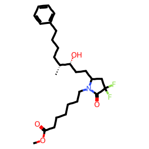 COC(=O)CCCCCCN1C(=O)C(F)(F)CC1CC[C@@H](O)[C@H](C)CCCCc1ccccc1